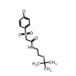 CC(C)(C)SCCNC(=O)CS(=O)(=O)c1ccc(Cl)cc1